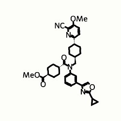 COc1ccc([C@H]2CC[C@H](CN(c3cccc(-c4coc(C5CC5)n4)c3)C(=O)[C@H]3CC[C@H](C(=O)OC)CC3)CC2)nc1C#N